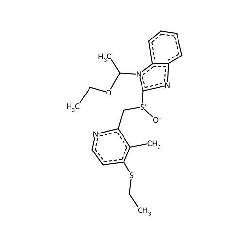 CCOC(C)n1c([S+]([O-])Cc2nccc(SCC)c2C)nc2ccccc21